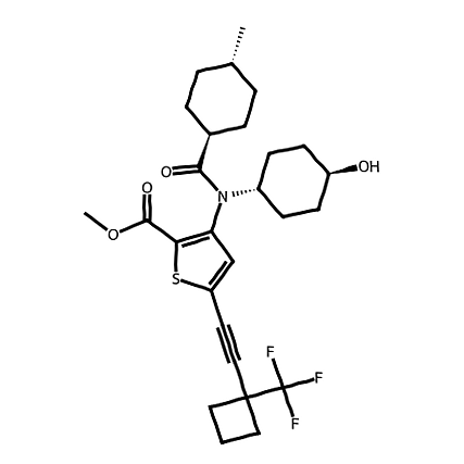 COC(=O)c1sc(C#CC2(C(F)(F)F)CCC2)cc1N(C(=O)[C@H]1CC[C@H](C)CC1)[C@H]1CC[C@H](O)CC1